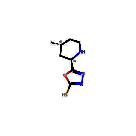 C[C@@H]1CCN[C@@H](c2nnc(S)o2)C1